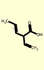 C=CC(/C=C/C)C(=O)O